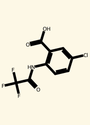 O=C(O)c1cc(Cl)ccc1NC(=O)C(F)(F)F